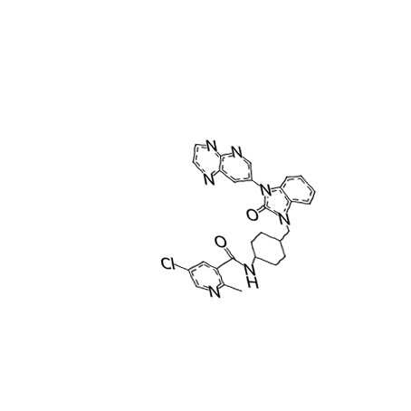 Cc1ncc(Cl)cc1C(=O)NC1CCC(Cn2c(=O)n(-c3cnc4nccnc4c3)c3ccccc32)CC1